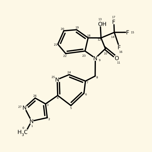 Cn1cc(-c2ccc(CN3C(=O)C(O)(C(F)(F)F)c4ccccc43)cn2)cn1